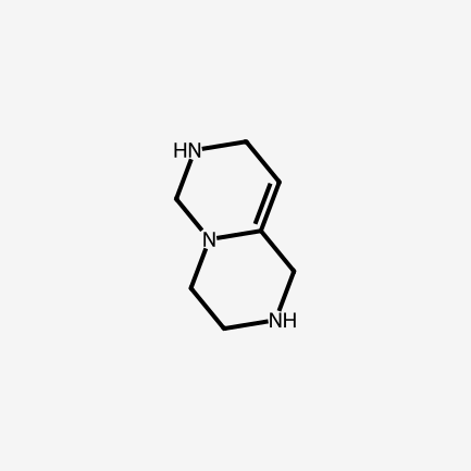 C1=C2CNCCN2CNC1